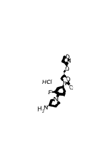 Cl.N[C@H]1CCN(c2ccc(N3C[C@H](COc4ccon4)OC3=O)cc2F)C1